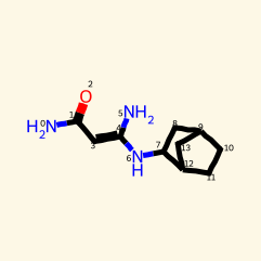 NC(=O)C=C(N)NC1CC2CCC1C2